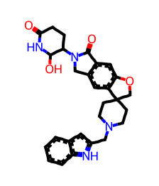 O=C1CCC(N2Cc3cc4c(cc3C2=O)OCC42CCN(Cc3cc4ccccc4[nH]3)CC2)C(O)N1